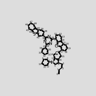 C=C/C=C\c1cn(-c2ccccc2)c2ccc(-c3cccc4c3oc3c(-c5nc(-c6ccccc6)nc(-c6ccc7c(c6)sc6ccccc67)n5)cccc34)cc12